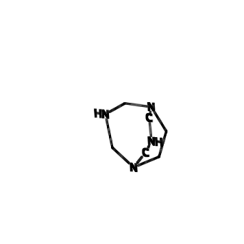 C1CN2CNCN1CNC2